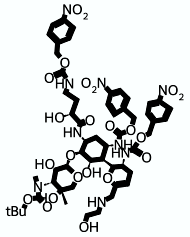 CN(C(=O)OC(C)(C)C)[C@@H]1[C@@H](O)[C@@H](O[C@@H]2[C@@H](O)[C@H](C3OC(CNCCO)=CC[C@H]3NC(=O)OCc3ccc([N+](=O)[O-])cc3)[C@@H](NC(=O)OCc3ccc([N+](=O)[O-])cc3)C[C@H]2NC(=O)[C@H](O)CCNC(=O)OCc2ccc([N+](=O)[O-])cc2)OC[C@]1(C)O